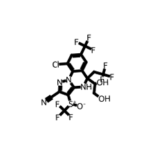 N#Cc1nn2c(c1[S+]([O-])C(F)(F)F)NC(CC(F)(F)F)(C(O)CO)c1cc(C(F)(F)F)cc(Cl)c1-2